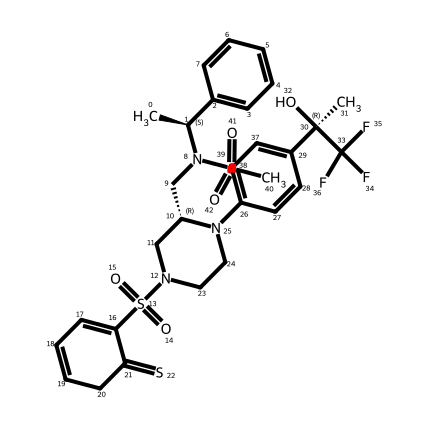 C[C@@H](c1ccccc1)N(C[C@H]1CN(S(=O)(=O)C2=CC=CCC2=S)CCN1c1ccc([C@@](C)(O)C(F)(F)F)cc1)S(C)(=O)=O